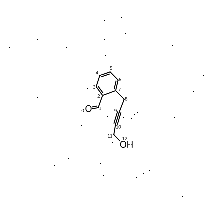 O=Cc1ccccc1CC#CCO